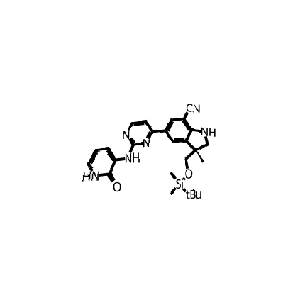 CC(C)(C)[Si](C)(C)OC[C@@]1(C)CNc2c(C#N)cc(-c3ccnc(Nc4ccc[nH]c4=O)n3)cc21